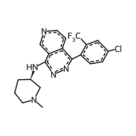 CN1CCC[C@@H](Nc2nnc(-c3ccc(Cl)cc3C(F)(F)F)c3ccncc23)C1